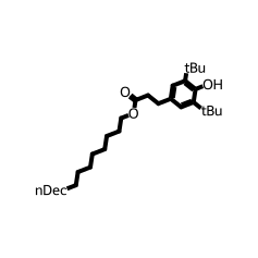 CCCCCCCCCCCCCCCCCCOC(=O)CCc1cc(C(C)(C)C)c(O)c(C(C)(C)C)c1